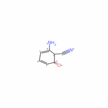 N#CC1C(=O)[C]=CC=C1N